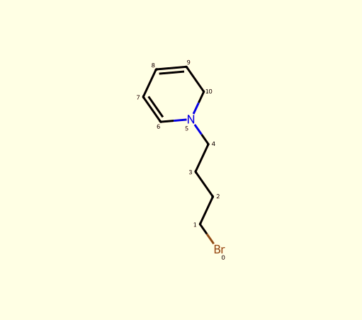 BrCCCCN1C=CC=CC1